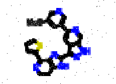 COc1cncc(-c2cc3c(-c4nc5c(-c6cccs6)nccc5[nH]4)n[nH]c3cn2)c1